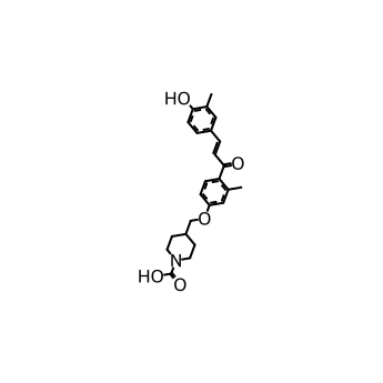 Cc1cc(C=CC(=O)c2ccc(OCC3CCN(C(=O)O)CC3)cc2C)ccc1O